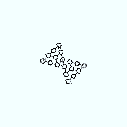 c1ccc(-c2ccc(-c3ccccc3-c3cc(-c4ccccc4-c4ccc(-c5ccccn5)cc4)cc(-c4ccccc4-c4ccc(-c5ccc(-c6ccccc6-c6cc(-c7ccccc7-c7ccc(-c8ccccn8)cc7)cc(-c7ccccc7-c7ccc(-c8ccccn8)cc7)c6)cn5)nc4)c3)cc2)nc1